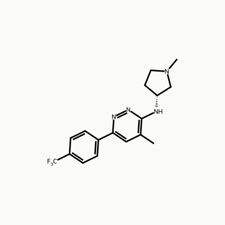 Cc1cc(-c2ccc(C(F)(F)F)cc2)nnc1N[C@@H]1CCN(C)C1